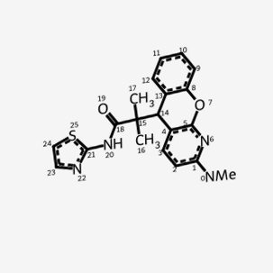 CNc1ccc2c(n1)Oc1ccccc1C2C(C)(C)C(=O)Nc1nccs1